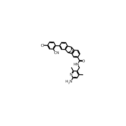 Cc1cc(N)nc(C)c1CNC(=O)c1ccc2c(c1)C1OC2c2ccc(-c3ccc(Cl)cc3C#N)cc21